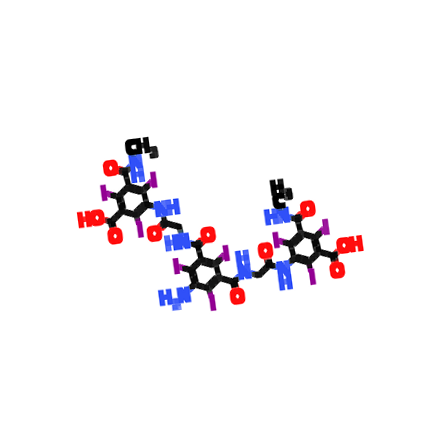 CNC(=O)c1c(I)c(NC(=O)CNC(=O)c2c(I)c(N)c(I)c(C(=O)NCC(=O)Nc3c(I)c(C(=O)O)c(I)c(C(=O)NC)c3I)c2I)c(I)c(C(=O)O)c1I